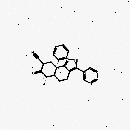 C[C@@H]1C(=O)C(C#N)C[C@@]2(c3ccccc3)c3n[nH]c(-c4cncnc4)c3CCC12